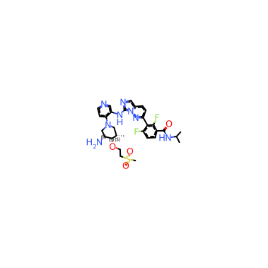 CC(C)NC(=O)c1ccc(F)c(-c2ccc3cnc(Nc4cnccc4N4C[C@@H](N)[C@@H](OCCS(C)(=O)=O)[C@@H](C)C4)n3n2)c1F